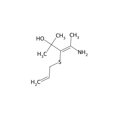 C=CCS/C(=C(/C)N)C(C)(C)O